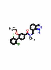 CCOc1cc(C(=O)N(C)Cc2cccc3cn[nH]c23)ccc1-c1c(F)cccc1F